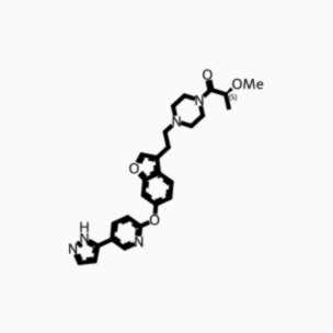 CO[C@@H](C)C(=O)N1CCN(CCc2coc3cc(Oc4ccc(-c5ccn[nH]5)cn4)ccc23)CC1